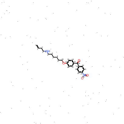 C=CCCNCCCCCCOc1ccc(C(=O)c2ccc([N+](=O)[O-])cc2)cc1